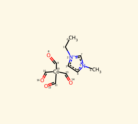 CC[n+]1ccn(C)c1.O=[CH][Co]([CH]=O)([CH]=O)[CH]=O